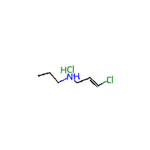 CCCNCC=CCl.Cl